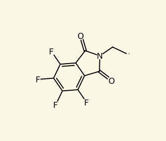 [CH2]CN1C(=O)c2c(F)c(F)c(F)c(F)c2C1=O